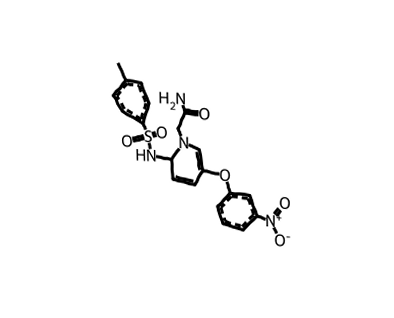 Cc1ccc(S(=O)(=O)NC2C=CC(Oc3cccc([N+](=O)[O-])c3)=CN2CC(N)=O)cc1